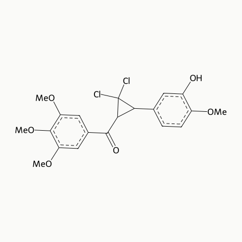 COc1ccc(C2C(C(=O)c3cc(OC)c(OC)c(OC)c3)C2(Cl)Cl)cc1O